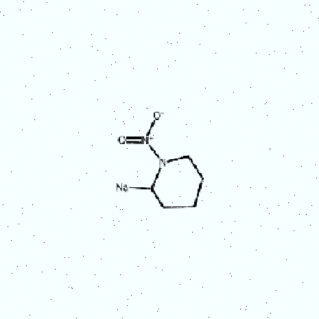 O=[N+]([O-])N1CCCC[CH]1[Na]